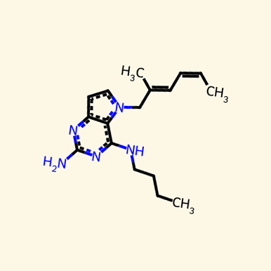 C/C=C\C=C(/C)Cn1ccc2nc(N)nc(NCCCC)c21